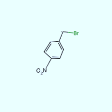 O=[N+]([O-])c1ccc([CH]Br)cc1